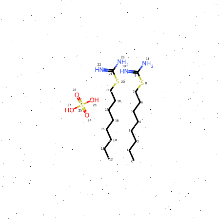 CCCCCCCCSC(=N)N.CCCCCCCCSC(=N)N.O=S(=O)(O)O